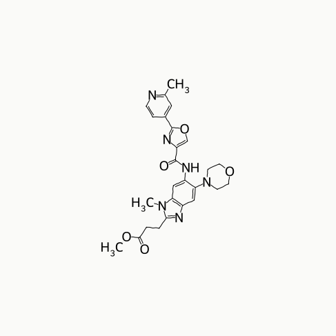 COC(=O)CCc1nc2cc(N3CCOCC3)c(NC(=O)c3coc(-c4ccnc(C)c4)n3)cc2n1C